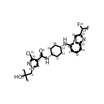 CC(C)(O)Cn1cc(C(=O)N[C@H]2CC[C@@H](Nc3cccc4nc(C(F)F)cn34)CC2)c(Cl)n1